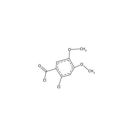 COc1cc(Cl)c(C(=O)Cl)cc1OC